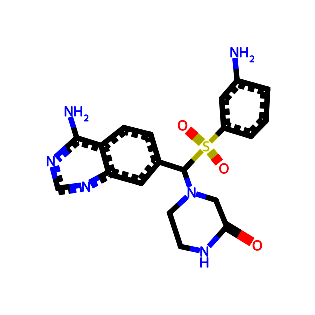 Nc1cccc(S(=O)(=O)C(c2ccc3c(N)ncnc3c2)N2CCNC(=O)C2)c1